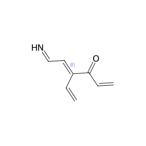 C=CC(=O)/C(C=C)=C/C=N